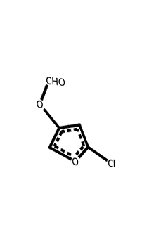 O=COc1coc(Cl)c1